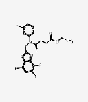 CCOC(=O)CCC(=O)N(Cc1nc2c(F)c(F)cc(F)c2s1)c1cccc(F)c1